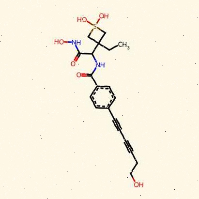 CCC1(C(NC(=O)c2ccc(C#CC#CCCO)cc2)C(=O)NO)CS(O)(O)C1